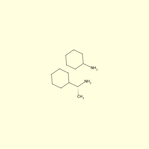 C[C@@H](N)C1CCCCC1.NC1CCCCC1